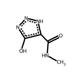 CNC(=O)c1[nH]nnc1O